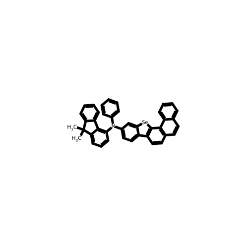 CC1(C)c2ccccc2-c2c(N(c3ccccc3)c3ccc4c(c3)[se]c3c4ccc4ccc5ccccc5c43)cccc21